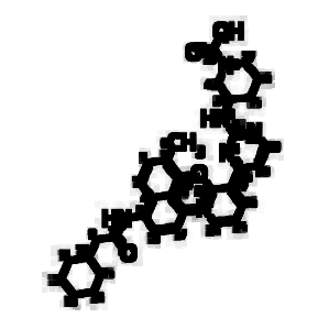 Cc1ccc2c(NC(=O)CC3CCCCC3)cccc2c1Oc1ncccc1-c1ccnc(NC2CCCN(C(=O)O)C2)n1